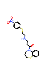 O=C(CCNCCSc1ccc([N+](=O)[O-])cc1)N1CCCSc2ccccc21